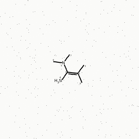 CC(C)=C([SiH3])N(C)C